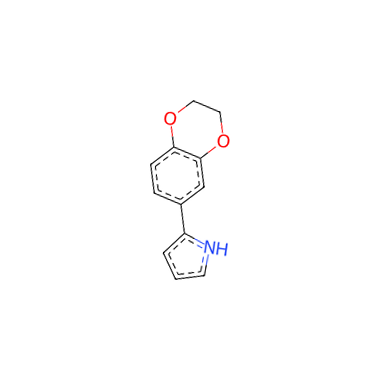 c1c[nH]c(-c2ccc3c(c2)OCCO3)c1